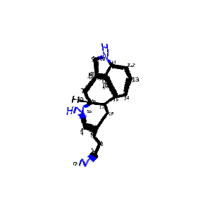 N#CCC1CN[C@@H]2Cc3c[nH]c4cccc(c34)C2C1